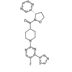 O=C(C1CCN(c2ncc(F)c(-c3cncs3)n2)CC1)N1OCC[C@H]1c1cnccn1